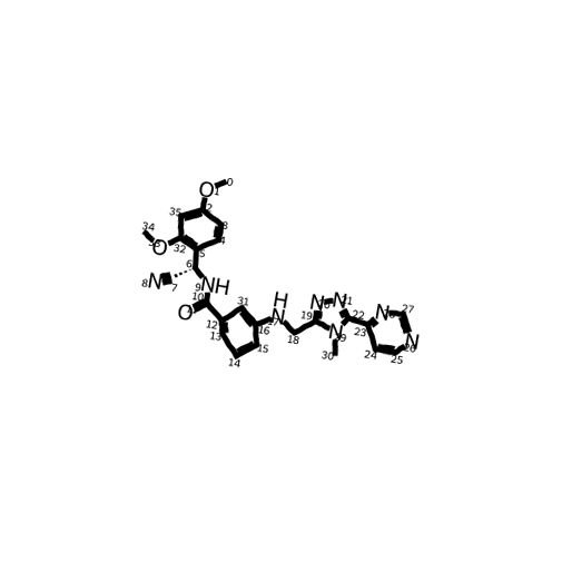 COc1ccc([C@@H](C#N)NC(=O)c2cccc(NCc3nnc(-c4ccncn4)n3C)c2)c(OC)c1